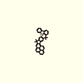 CC1(C)c2cc3c(cc2-c2c1cc1ccc4cccc5ccc2c1c45)C(C)(C)c1cccc2c4ccccc4n-3c12